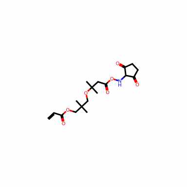 C=CC(=O)OCC(C)(C)COC(C)(C)CC(=O)ONC1C(=O)CCC1=O